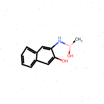 CB(O)Nc1cc2ccccc2cc1O